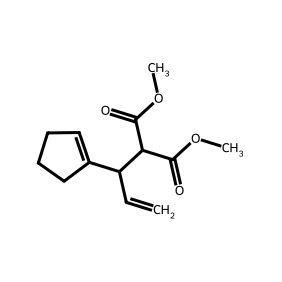 C=CC(C1=CCCC1)C(C(=O)OC)C(=O)OC